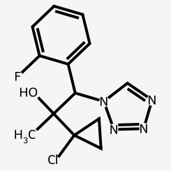 CC(O)(C(c1ccccc1F)n1cnnn1)C1(Cl)CC1